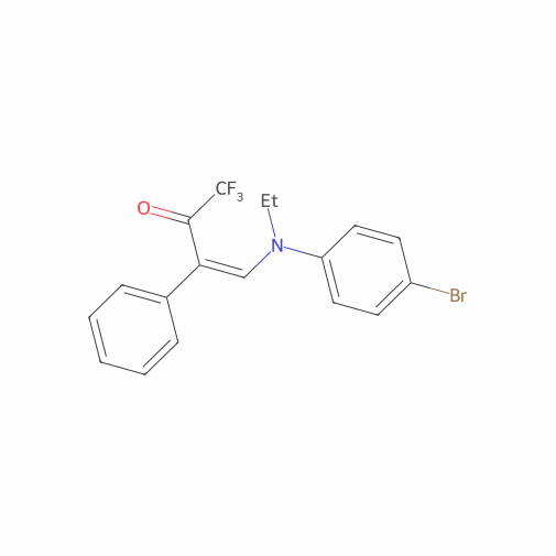 CCN(/C=C(\C(=O)C(F)(F)F)c1ccccc1)c1ccc(Br)cc1